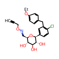 C#CCON=C[C@H]1O[C@@H](c2ccc(Cl)c(Cc3ccc(OCC)cc3)c2)[C@H](O)[C@@H](O)[C@@H]1O